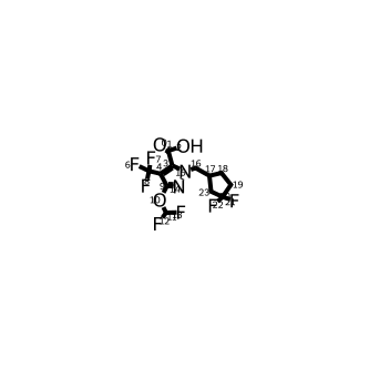 O=C(O)c1c(C(F)(F)F)c(OC(F)F)nn1CC1CCC(F)(F)C1